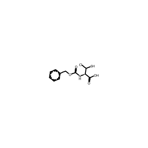 O=C(N[C@H](C(=O)O)C(S)Cl)OCc1ccccc1